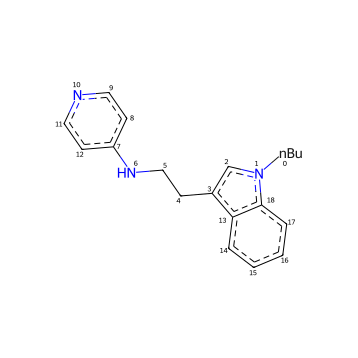 CCCCn1cc(CCNc2ccncc2)c2ccccc21